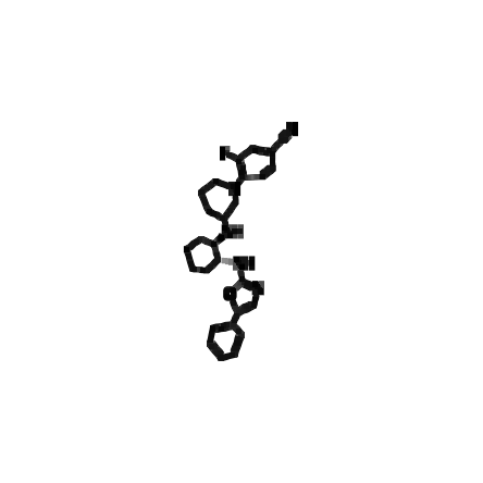 N#Cc1ccc(N2CCCC(N[C@@H]3CCCC[C@H]3Nc3ncc(-c4ccccc4)o3)C2)c(F)c1